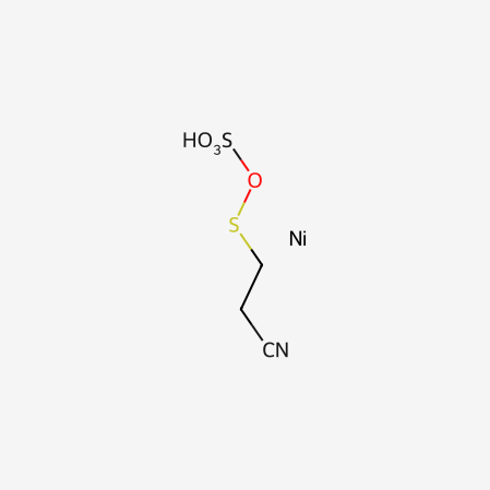 N#CCCSOS(=O)(=O)O.[Ni]